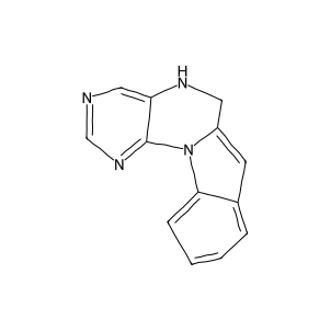 c1ccc2c(c1)cc1n2-c2ncncc2NC1